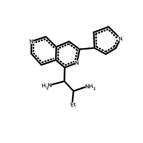 CCC(N)C(N)c1nc(-c2ccncc2)cc2cnccc12